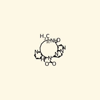 C[C@@H]1CCCc2ncccc2[C@H]2COC(=O)N2c2ccn3ncc(c3n2)C(=O)N1